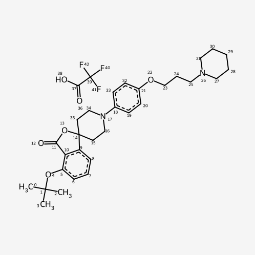 CC(C)(C)Oc1cccc2c1C(=O)OC21CCN(c2ccc(OCCCN3CCCCC3)cc2)CC1.O=C(O)C(F)(F)F